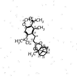 COc1cc(OC)c(C(C)=O)c(C)c1C[C@@H](Cl)B1OC2CC3CC(C3(C)C)[C@]2(C)O1